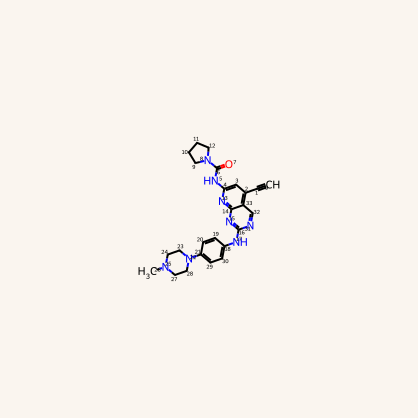 C#Cc1cc(NC(=O)N2CCCC2)nc2nc(Nc3ccc(N4CCN(C)CC4)cc3)ncc12